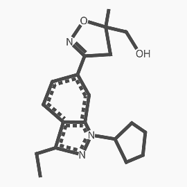 CCc1nn(C2CCCC2)c2cc(C3=NOC(C)(CO)C3)ccc12